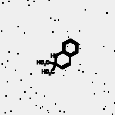 O=C(O)C1(C(=O)O)C=Cc2ccccc2N1